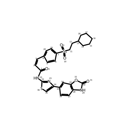 O=C(/C=C\c1ccc(S(=O)(=O)CCC2CCCCC2)cc1)Nc1nc(-c2ccc3[nH]c(=O)oc3c2)cs1